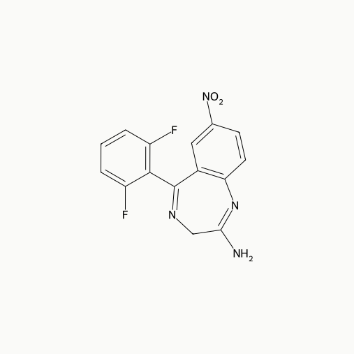 NC1=Nc2ccc([N+](=O)[O-])cc2C(c2c(F)cccc2F)=NC1